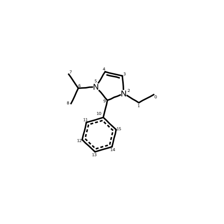 CCN1C=CN(C(C)C)C1c1ccccc1